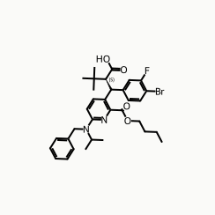 CCCCOC(=O)c1nc(N(Cc2ccccc2)C(C)C)ccc1C(c1ccc(Br)c(F)c1)[C@H](C(=O)O)C(C)(C)C